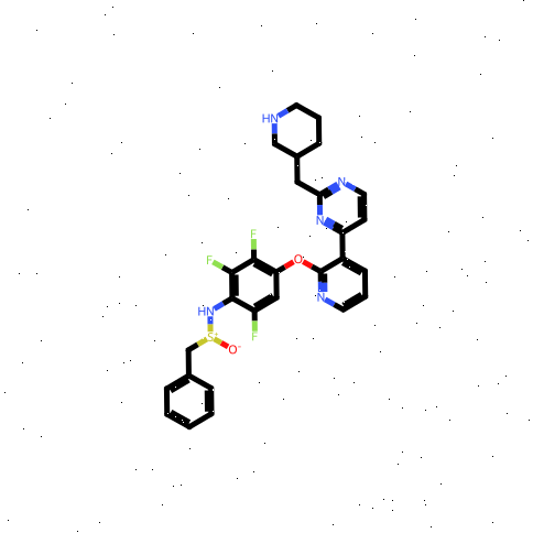 [O-][S+](Cc1ccccc1)Nc1c(F)cc(Oc2ncccc2-c2ccnc(CC3CCCNC3)n2)c(F)c1F